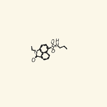 CCCNS(=O)(=O)c1ccc2c3c(cccc13)C(=O)N2CC